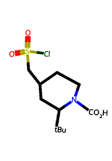 CC(C)(C)C1CC(CS(=O)(=O)Cl)CCN1C(=O)O